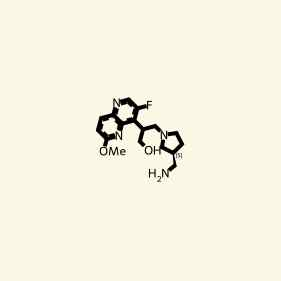 COc1ccc2ncc(F)c(C(CO)CN3CC[C@@H](CN)C3)c2n1